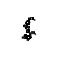 COc1ccc(S(=O)(=O)C[C@H]2C[C@@H](N(C)c3ncnc4[nH]ccc34)C2)cc1